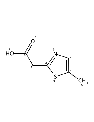 Cc1cnc(CC(=O)O)s1